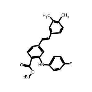 Cc1ccc(C=Cc2ccc(C(=O)OC(C)(C)C)c(Nc3ccc(F)cc3)c2)cc1C